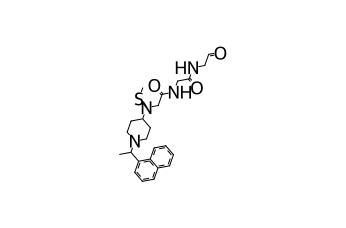 CSN(CC(=O)NCC(=O)NCC=O)C1CCN(C(C)c2cccc3ccccc23)CC1